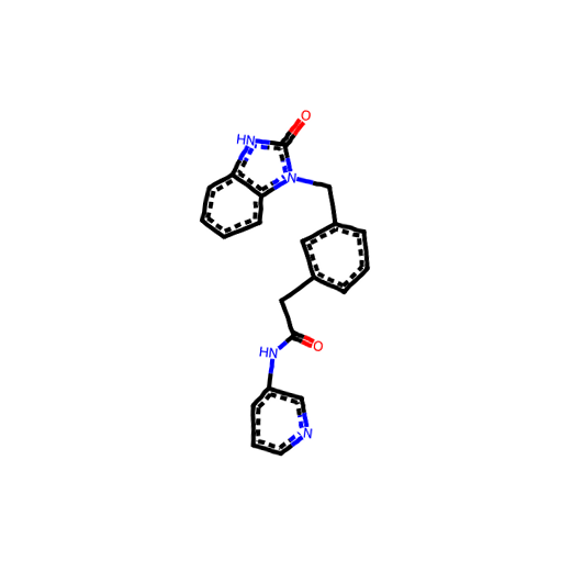 O=C(Cc1cccc(Cn2c(=O)[nH]c3ccccc32)c1)Nc1cccnc1